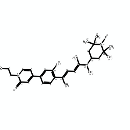 CCCn1ccc(-c2ccc(/C(N)=C/C=C(\N)N(C)C3CC(C)(C)N(F)C(C)(C)C3)c(O)c2)cc1=O